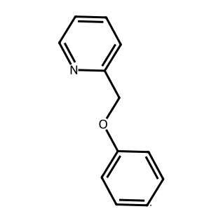 [c]1ccc(OCc2ccccn2)cc1